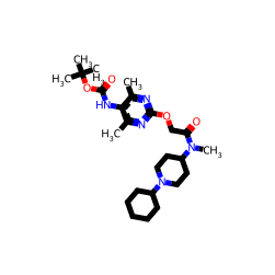 Cc1nc(OCC(=O)N(C)C2CCN(C3CCCCC3)CC2)nc(C)c1NC(=O)OC(C)(C)C